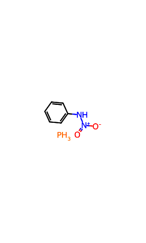 O=[N+]([O-])Nc1ccccc1.P